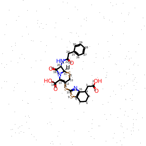 O=C(O)CC1CCCc2sc(SC3=C(C(=O)O)N4C(=O)[C@@H](NC(=O)Cc5ccccc5)[C@H]4SC3)nc21